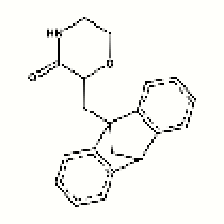 O=C1NCCOC1CC12CC(c3ccccc31)c1ccccc12